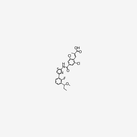 CCC(OC)c1cccc(-c2csc(NC(=O)c3cc(Cl)c(C=C(C)C(=O)O)c(Cl)c3)n2)c1F